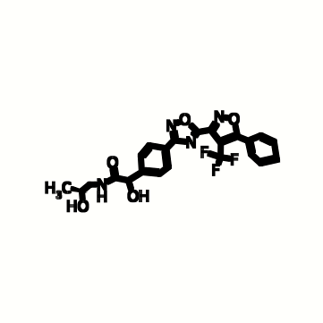 C[C@H](O)CNC(=O)C(O)c1ccc(-c2noc(-c3noc(-c4ccccc4)c3C(F)(F)F)n2)cc1